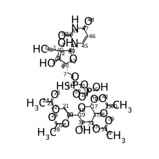 C#C[C@]1(O)[C@H](O)[C@@H](COP(=O)(S)OP(=O)(O)OC2OC([C@H](COC(C)=O)OC(C)=O)C(O)C(OC(C)=O)C2OC(C)=O)O[C@H]1n1ccc(=O)[nH]c1=O